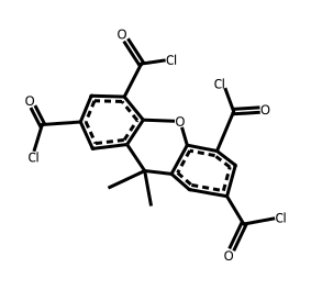 CC1(C)c2cc(C(=O)Cl)cc(C(=O)Cl)c2Oc2c(C(=O)Cl)cc(C(=O)Cl)cc21